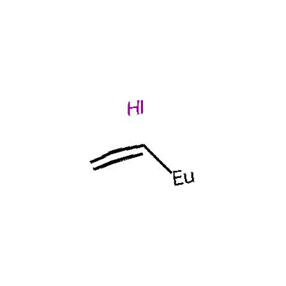 C=[CH][Eu].I